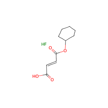 F.O=C(O)/C=C/C(=O)OC1CCCCC1